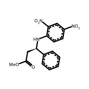 COC(=O)C[C@@H](Nc1ccc([N+](=O)[O-])cc1[N+](=O)[O-])c1ccccc1